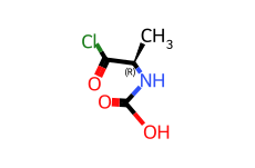 C[C@@H](NC(=O)O)C(=O)Cl